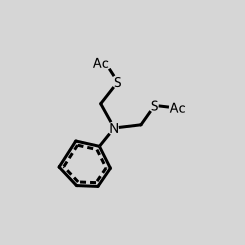 CC(=O)SCN(CSC(C)=O)c1ccccc1